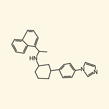 CC(NC1CCCC(c2ccc(-n3ccnc3)cc2)C1)c1cccc2ccccc12